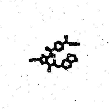 CCCc1cc(C(=O)NCc2ccc3c(c2)OCO3)c(NC(=O)c2ccc(C(=O)OC)cc2)s1